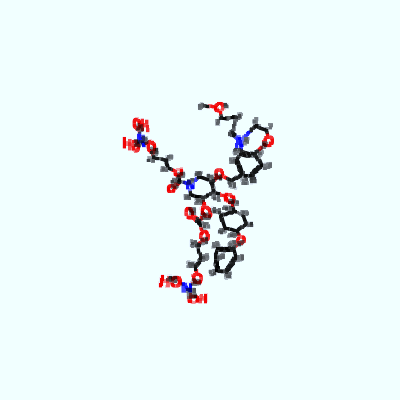 COCCCN1CCOc2ccc(COC3CN(C(=O)OCCCON(O)O)CC(OC(=O)OCCCON(O)O)C3OC3CCC(Oc4ccccc4)CC3)cc21